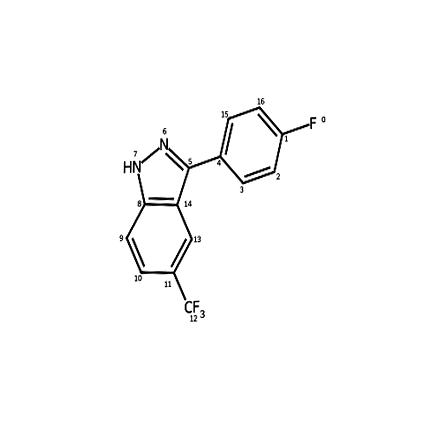 Fc1ccc(-c2n[nH]c3ccc(C(F)(F)F)cc23)cc1